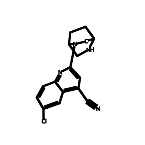 N#Cc1cc(N2CC3CCC2CN3)nc2ccc(Cl)cc12